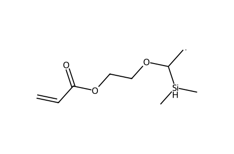 [CH2]C(OCCOC(=O)C=C)[SiH](C)C